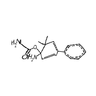 CC1(C)C=C(c2ccccc2)C=CC1(N)OC(N)=O